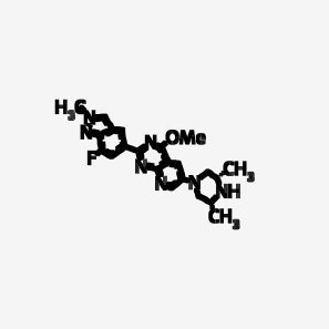 COc1nc(-c2cc(F)c3nn(C)cc3c2)nc2ncc(N3C[C@H](C)N[C@@H](C)C3)cc12